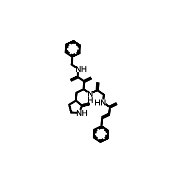 C=C(/C=C/c1ccccc1)NCC(=C)NC(CC1CCNC1=C)C(=C)C(=C)NCc1ccccc1